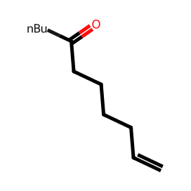 C=CCCCCC(=O)CCCC